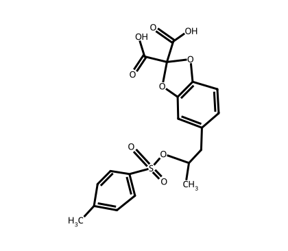 Cc1ccc(S(=O)(=O)OC(C)Cc2ccc3c(c2)OC(C(=O)O)(C(=O)O)O3)cc1